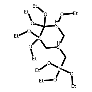 CCO[SiH]1C[SiH](C[Si](OCC)(OCC)OCC)C[Si](OCC)(OCC)C1(OCC)OCC